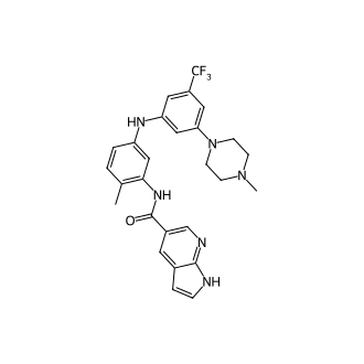 Cc1ccc(Nc2cc(N3CCN(C)CC3)cc(C(F)(F)F)c2)cc1NC(=O)c1cnc2[nH]ccc2c1